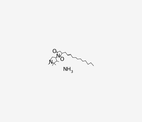 CCCCCCCCCC=CCC1CC(=O)N(C2CCN(C)C(C)(C)C2C)C1=O.N